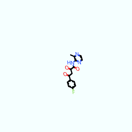 Cc1nccnc1NC(=O)C(=O)CC(=O)c1ccc(F)cc1